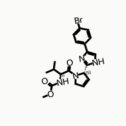 COC(=O)N[C@H](C(=O)N1CC=C[C@H]1c1nc(-c2ccc(Br)cc2)c[nH]1)C(C)C